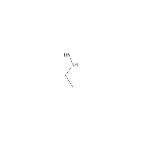 CCN[NH]